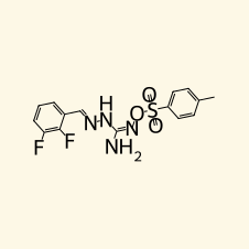 Cc1ccc(S(=O)(=O)ON=C(N)NN=Cc2cccc(F)c2F)cc1